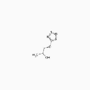 [CH2]C(O)COc1cnsn1